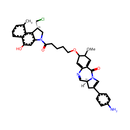 COC1C=C2C(=O)N3C=C(c4ccc(N)cc4)C[C@H]3C=NC2=CC1OCCCCC(=O)N1C[C@@H](CCl)c2c1cc(O)c1cccc(C)c21